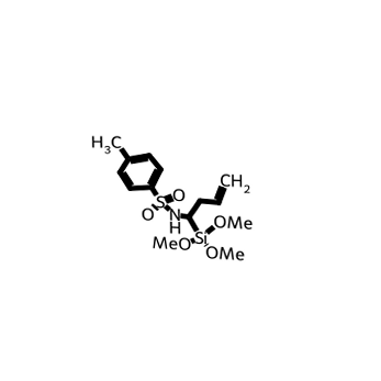 C=CCC(NS(=O)(=O)c1ccc(C)cc1)[Si](OC)(OC)OC